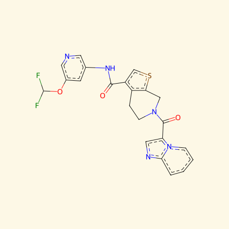 O=C(Nc1cncc(OC(F)F)c1)c1csc2c1CCN(C(=O)c1cnc3ccccn13)C2